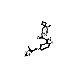 Cc1ncsc1COc1ccc2nn(C)c(C(=O)NCC3(N(C)C)CCC3)c2c1